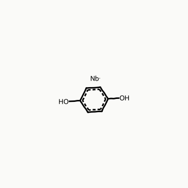 Oc1ccc(O)cc1.[Nb]